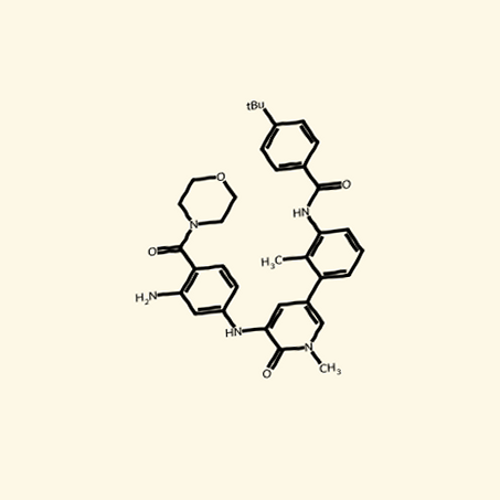 Cc1c(NC(=O)c2ccc(C(C)(C)C)cc2)cccc1-c1cc(Nc2ccc(C(=O)N3CCOCC3)c(N)c2)c(=O)n(C)c1